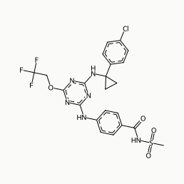 CS(=O)(=O)NC(=O)c1ccc(Nc2nc(NC3(c4ccc(Cl)cc4)CC3)nc(OCC(F)(F)F)n2)cc1